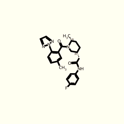 Cc1ccc(-n2nccn2)c(C(=O)N2C[C@@H](CC(=O)Nc3ccc(F)cc3)CC[C@H]2C)c1